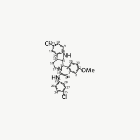 COc1ccc(C2C3Nc4ccc(Cl)cc4C3CCN2C(=S)Nc2ccc(Cl)cc2)cc1